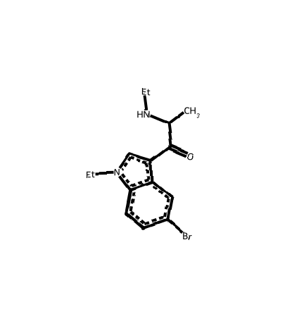 CCNC(C)C(=O)c1cn(CC)c2ccc(Br)cc12